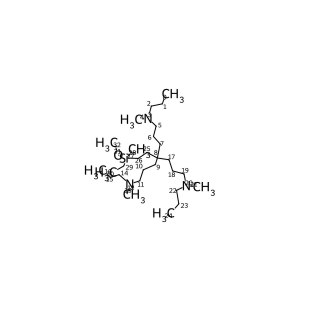 CCCN(C)CCCC(CCCN(C)CCC)(CCCN(C)CCC)CC[Si](C)(CC)OC